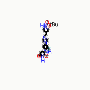 CC(C)(C)OC(=O)NN1CCC(CCN2CCN(c3ccc(NC4CCC(=O)NC4=O)c(F)c3)CC2)CC1